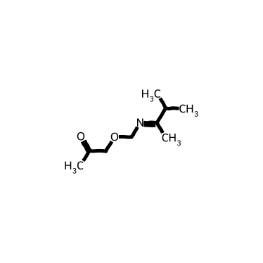 CC(=O)COC/N=C(\C)C(C)C